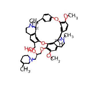 COc1ccc2cc1Oc1ccc(cc1)C[C@H]1c3cc(c(CO)cc3CCN1C)Oc1c(OCC(O)CN3CCCC(C)C3)c(OC)cc3c1[C@H](C2)N(C)CC3